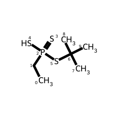 CCP(=S)(S)SC(C)(C)C